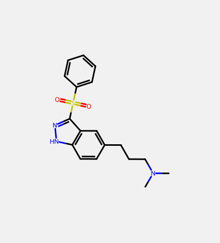 CN(C)CCCc1ccc2[nH]nc(S(=O)(=O)c3ccccc3)c2c1